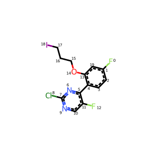 Fc1ccc(-c2nc(Cl)ncc2F)c(OCCCI)c1